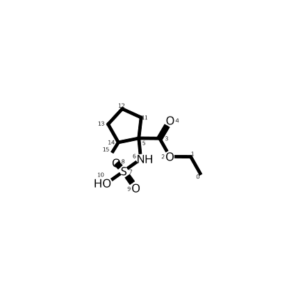 CCOC(=O)C1(NS(=O)(=O)O)CCCC1C